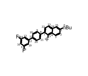 CCCCc1ccc2c(F)c(-c3ccc(-c4cc(F)cc(F)c4)cc3)ccc2c1